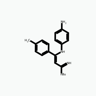 CCCCC(=N)/C=C(\Nc1ccc(N)cc1)c1ccc(C)cc1